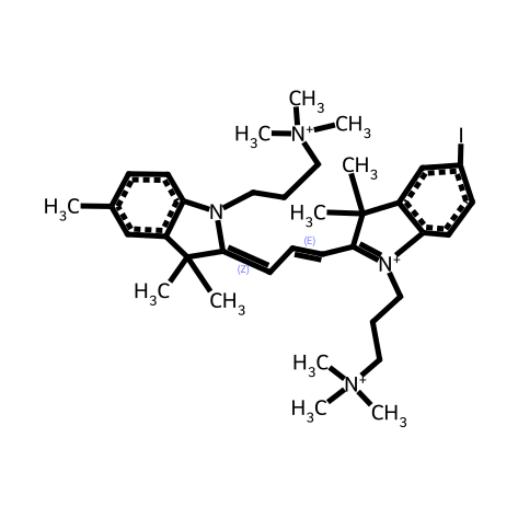 Cc1ccc2c(c1)C(C)(C)/C(=C/C=C/C1=[N+](CCC[N+](C)(C)C)c3ccc(I)cc3C1(C)C)N2CCC[N+](C)(C)C